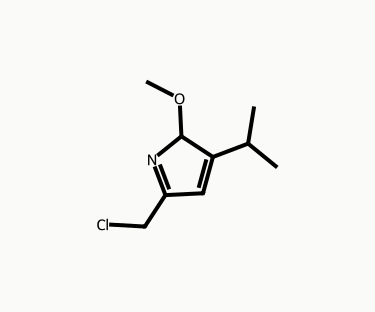 COC1N=C(CCl)C=C1C(C)C